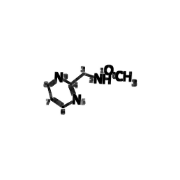 CONCc1ncccn1